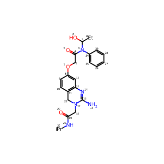 CCC(O)N(C(=O)COc1ccc2c(c1)N=C(N)N(CC(=O)NC(C)C)C2)c1ccccc1